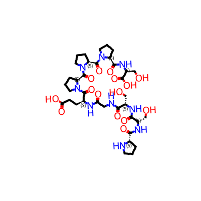 O=C(O)CC[C@H](NC(=O)CNC(=O)[C@H](CO)NC(=O)[C@H](CO)NC(=O)[C@@H]1CCCN1)C(=O)N1CCC[C@H]1C(=O)N1CCC[C@H]1C(=O)N1CCC[C@H]1C(=O)N[C@@H](CO)C(=O)O